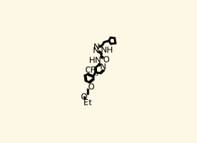 CCOCCOc1ccc(C(F)(F)F)c(-c2ccnc(NC(=O)c3nnc(CC4CCCC4)[nH]3)c2)c1